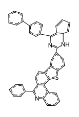 C1=CC2=C(c3ccc(-c4ccccc4)cc3)N=C(c3ccc4sc5c(ccc6c(-c7ccccc7)nc7ccccc7c65)c4c3)NC2C=C1